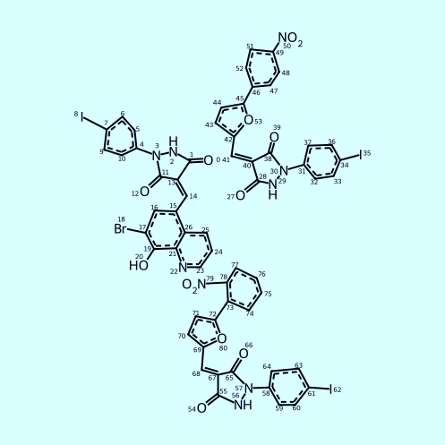 O=C1NN(c2ccc(I)cc2)C(=O)C1=Cc1cc(Br)c(O)c2ncccc12.O=C1NN(c2ccc(I)cc2)C(=O)C1=Cc1ccc(-c2ccc([N+](=O)[O-])cc2)o1.O=C1NN(c2ccc(I)cc2)C(=O)C1=Cc1ccc(-c2ccccc2[N+](=O)[O-])o1